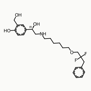 OCc1cc([C@@H](O)CNCCCCCCOCC(F)(F)Cc2ccccc2)ccc1O